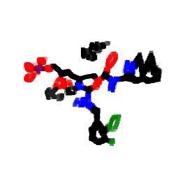 CN(C(=O)NCc1cccc(F)c1Cl)[C@H](COC(=O)Nc1cc2ccccc2cn1)C[C@@H](O)COP(=O)([O-])[O-].[Na+].[Na+]